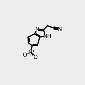 N#CCc1nc2ccc([N+](=O)[O-])cc2[nH]1